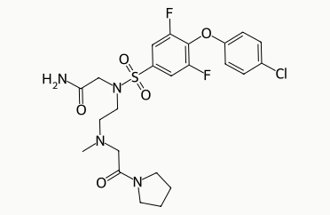 CN(CCN(CC(N)=O)S(=O)(=O)c1cc(F)c(Oc2ccc(Cl)cc2)c(F)c1)CC(=O)N1CCCC1